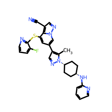 Cc1c(-c2cc(Sc3ncccc3F)c3c(C#N)cnn3c2)cnn1[C@H]1CC[C@@H](Nc2ccccn2)CC1